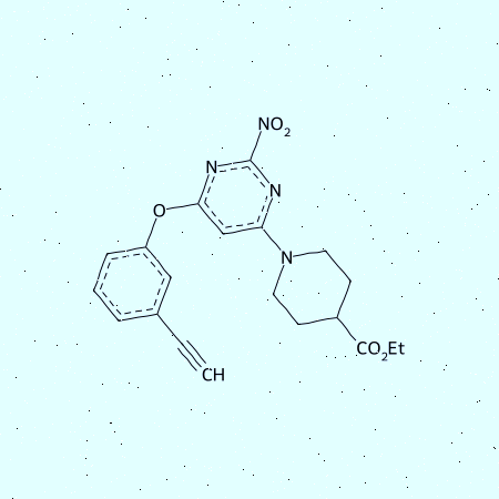 C#Cc1cccc(Oc2cc(N3CCC(C(=O)OCC)CC3)nc([N+](=O)[O-])n2)c1